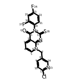 O=c1c2cccn(Cc3ccc(Cl)nc3)c-2nc(=S)n1-c1ccc(F)cc1F